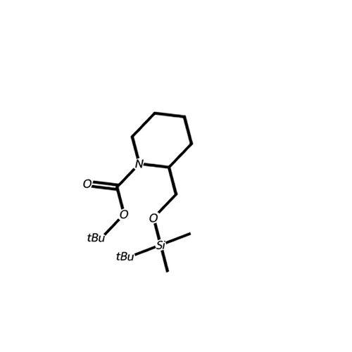 CC(C)(C)OC(=O)N1CCCCC1CO[Si](C)(C)C(C)(C)C